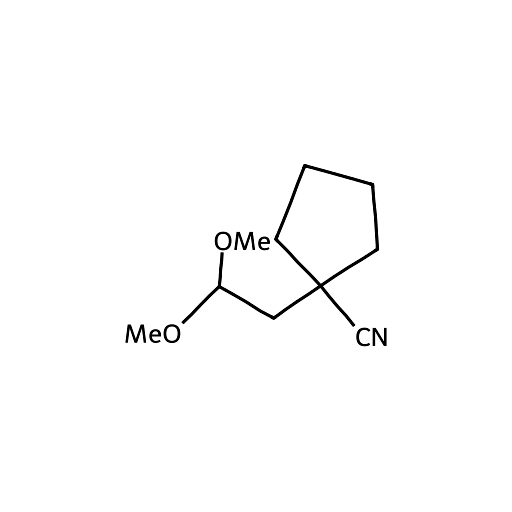 COC(CC1(C#N)CCCC1)OC